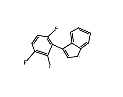 Fc1ccc(F)c(C2=C[CH]c3ccccc32)c1F